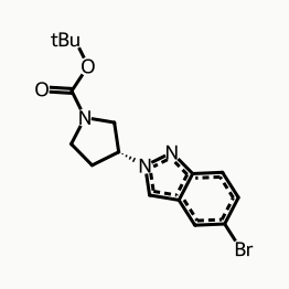 CC(C)(C)OC(=O)N1CC[C@@H](n2cc3cc(Br)ccc3n2)C1